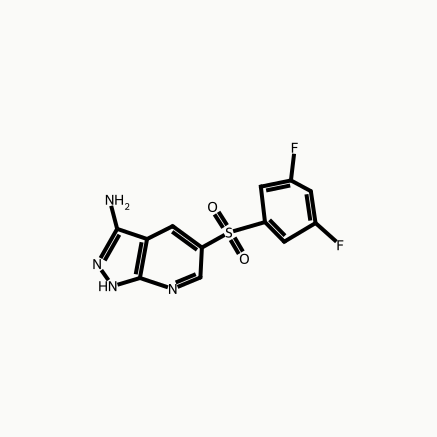 Nc1n[nH]c2ncc(S(=O)(=O)c3cc(F)cc(F)c3)cc12